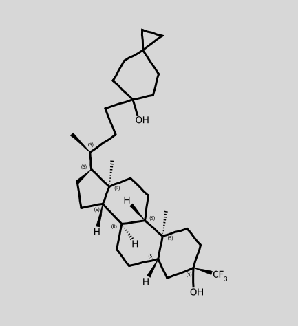 C[C@@H](CCC1(O)CCC2(CC1)CC2)[C@@H]1CC[C@H]2[C@@H]3CC[C@H]4C[C@](O)(C(F)(F)F)CC[C@]4(C)[C@H]3CC[C@@]21C